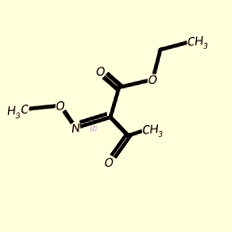 CCOC(=O)/C(=N\OC)C(C)=O